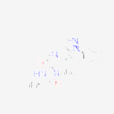 CCCCN1C(=O)C(CC(C)C)NC(=O)C12CCN(Cc1c(C)nn(-c3ccccc3)c1Cl)CC2